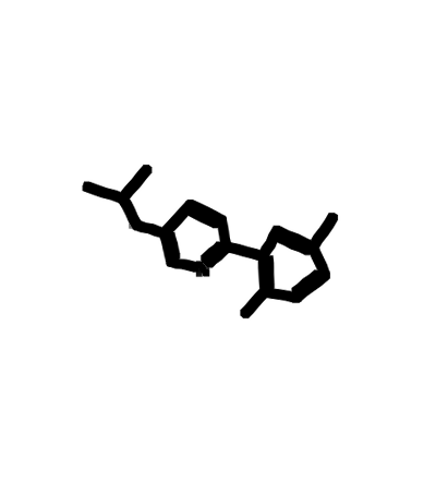 Cc1ccc(C)c(-c2ccc([CH]C(C)C)cn2)c1